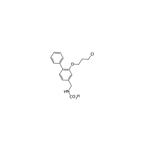 O=C(O)NCc1ccc(-c2ccccc2)c(OCCCCl)c1